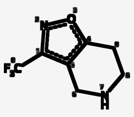 FC(F)(F)c1noc2c1CNCC2